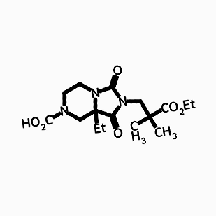 CCOC(=O)C(C)(C)CN1C(=O)N2CCN(C(=O)O)CC2(CC)C1=O